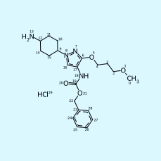 COCCCOc1nn(C2CCC(N)CC2)cc1NC(=O)OCc1ccccc1.Cl